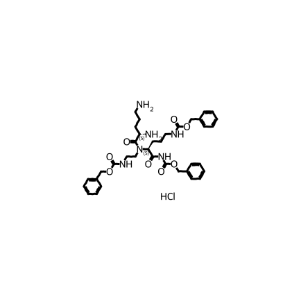 Cl.NCCC[C@H](N)C(=O)N(CCNC(=O)OCc1ccccc1)[C@@H](CCCNC(=O)OCc1ccccc1)C(=O)NC(=O)OCc1ccccc1